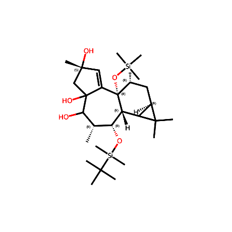 C[C@@H]1C(O)C2(O)C[C@](C)(O)C=C2[C@@]2(O[Si](C)(C)C)[C@H](C)C[C@@H]3C([C@@H]2[C@@H]1O[Si](C)(C)C(C)(C)C)C3(C)C